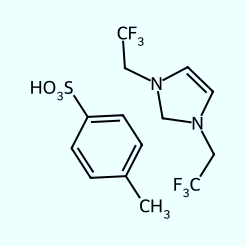 Cc1ccc(S(=O)(=O)O)cc1.FC(F)(F)CN1C=CN(CC(F)(F)F)C1